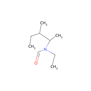 CCC(C)C(C)N([C]=O)CC